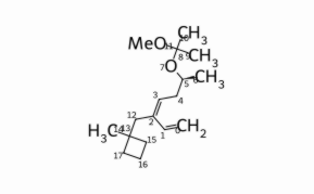 C=C/C(=C\C[C@H](C)OC(C)(C)OC)CC1(C)CCC1